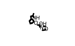 Cc1cc2cccc(OC[C@@H](O)CN3CCOCC3)c2[nH]1